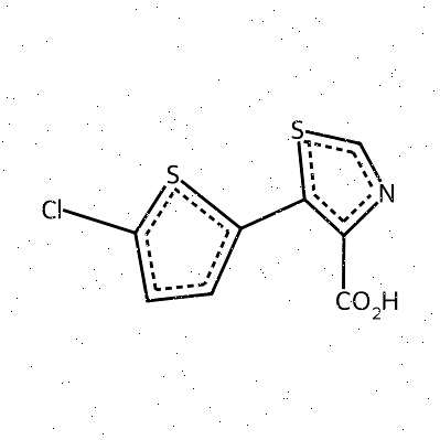 O=C(O)c1ncsc1-c1ccc(Cl)s1